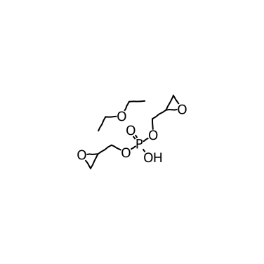 CCOCC.O=P(O)(OCC1CO1)OCC1CO1